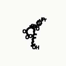 C/C(=C\C=C\C(C)(C)O)C1OC(=O)CC(=O)CCC(C)(O)C(OC(=O)N2CCN(C(C)C)CC2)/C=C/C1C